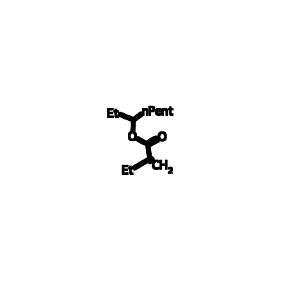 C=C(CC)C(=O)OC(CC)CCCCC